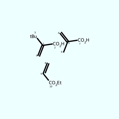 C=C(C(=O)O)C(C)(C)C.C=C(C)C(=O)O.C=CC(=O)OCC